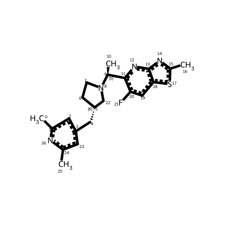 Cc1cc(C[C@@H]2CCN([C@@H](C)c3nc4nc(C)sc4cc3F)C2)cc(C)n1